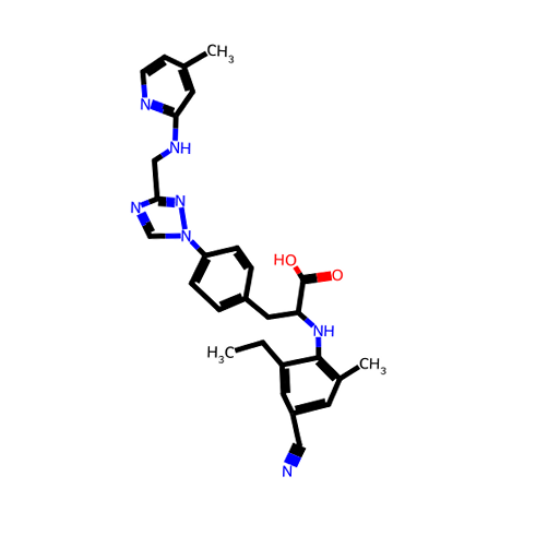 CCc1cc(C#N)cc(C)c1NC(Cc1ccc(-n2cnc(CNc3cc(C)ccn3)n2)cc1)C(=O)O